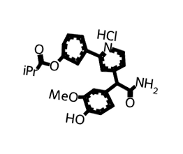 COc1cc(C(C(N)=O)c2ccnc(-c3cccc(OC(=O)C(C)C)c3)c2)ccc1O.Cl